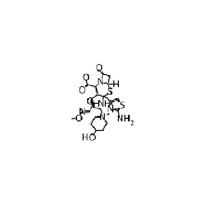 CON=CC(=O)NC1(c2csc(N)n2)S[C@H]2CC(=O)N2C(C(=O)[O-])=C1/C=C\C[N+]1(C)CCC(O)CC1